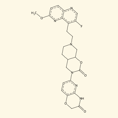 COc1ccc2ncc(F)c(CCN3CCC4CN(c5ccc6c(n5)NC(=O)CO6)C(=O)OC4C3)c2n1